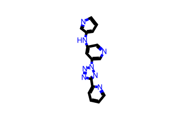 c1ccc(-c2nnn(-c3cncc(Nc4cccnc4)c3)n2)nc1